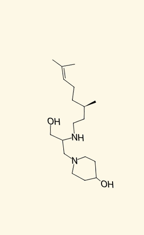 CC(C)=CCC[C@@H](C)CCNC(CO)CN1CCC(O)CC1